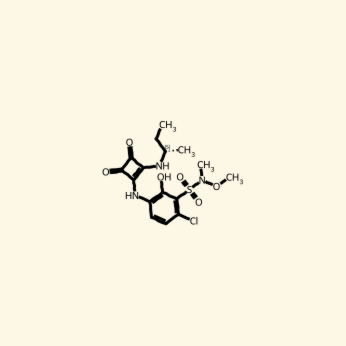 CC[C@H](C)Nc1c(Nc2ccc(Cl)c(S(=O)(=O)N(C)OC)c2O)c(=O)c1=O